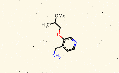 COC(C)COc1cnccc1CN